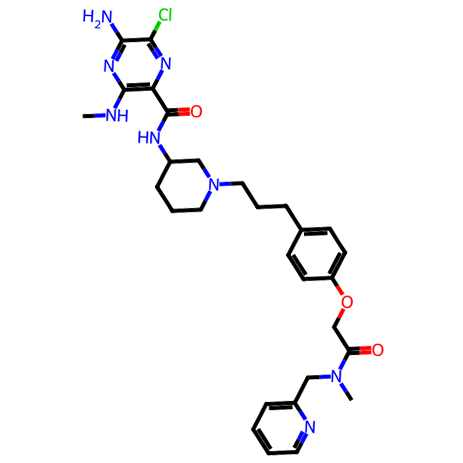 CNc1nc(N)c(Cl)nc1C(=O)NC1CCCN(CCCc2ccc(OCC(=O)N(C)Cc3ccccn3)cc2)C1